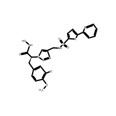 COc1ccc(C[C@@H](C(=O)NO)n2cc(CNS(=O)(=O)c3ccc(-c4ccccn4)s3)nn2)cc1Cl